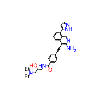 CCN(CC)CC(O)CNC(=O)c1ccc(C#Cc2c(N)ncc3c(-c4ccn[nH]4)cccc23)cc1